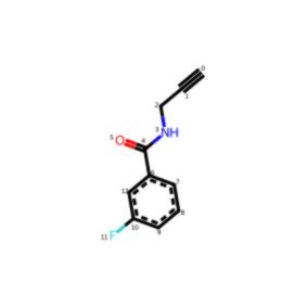 C#CCNC(=O)c1cccc(F)c1